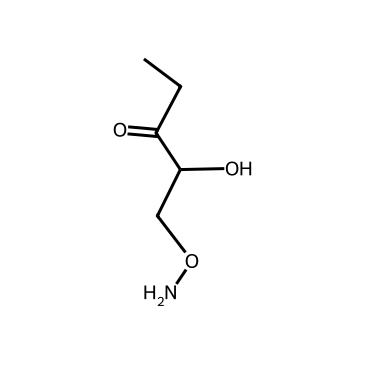 CCC(=O)C(O)CON